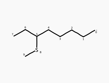 [CH2]CCCCC(CC)SC